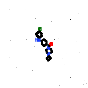 O=C([C@H]1CC[C@@H](Nc2ccc(Cl)cc2)CC1)N1CCN(C2CCC2)CC1